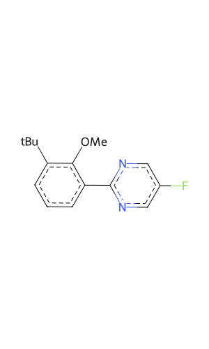 COc1c(-c2ncc(F)cn2)cccc1C(C)(C)C